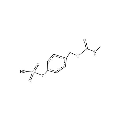 CNC(=O)OCc1ccc(OS(=O)(=O)O)cc1